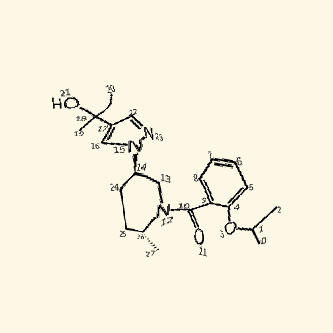 CC(C)Oc1ccccc1C(=O)N1C[C@H](n2cc(C(C)(C)O)cn2)CC[C@H]1C